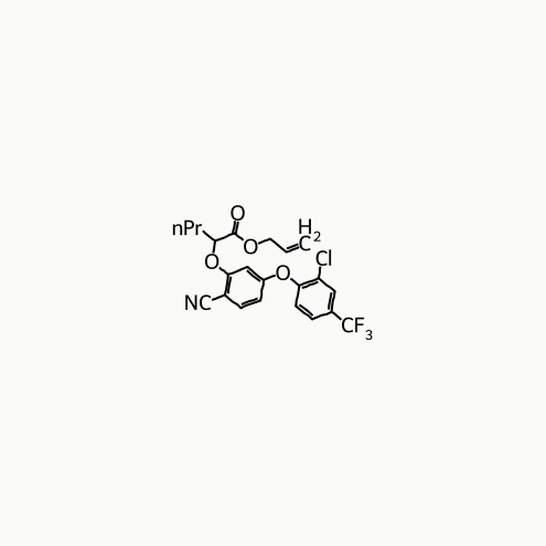 C=CCOC(=O)C(CCC)Oc1cc(Oc2ccc(C(F)(F)F)cc2Cl)ccc1C#N